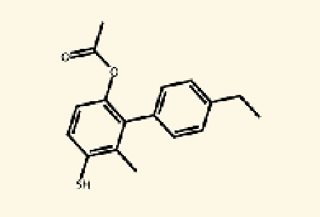 CCc1ccc(-c2c(OC(C)=O)ccc(S)c2C)cc1